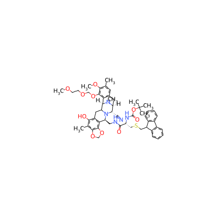 COCCOCOc1c(OC)c(C)cc2c1[C@@H]1C3Cc4c(O)c(C)c5c(c4[C@H](CNC(=O)[C@@H](CSCC4c6ccccc6-c6ccccc64)NC(=O)OC(C)(C)C)N3[C@@H](C#N)[C@H](C2)N1C)OCO5